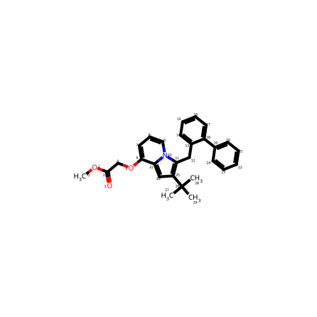 COC(=O)COc1cccn2c(Cc3ccccc3-c3ccccc3)c(C(C)(C)C)cc12